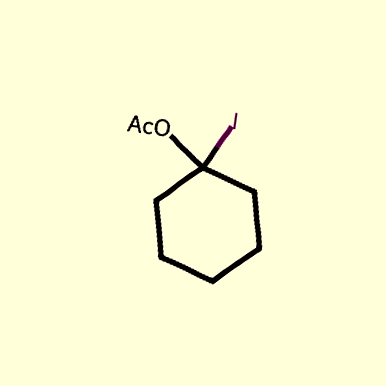 CC(=O)OC1(I)CCCCC1